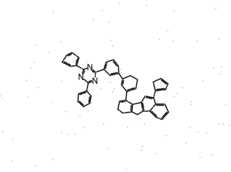 C1=CCC(c2cc3c(c4ccccc24)CC2=C3C(C3=CCCC(c4cccc(-c5nc(-c6ccccc6)nc(-c6ccccc6)n5)c4)=C3)=CCC2)=C1